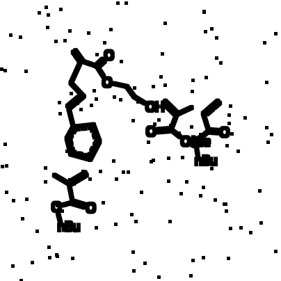 C=C(C)C(=O)OC.C=C(C)C(=O)OCCCC.C=C(CC=Cc1ccccc1)C(=O)OCCO.C=CC(=O)OCCCC